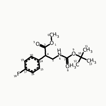 COC(=O)C(CNC(=O)OC(C)(C)C)c1ccc(F)cc1